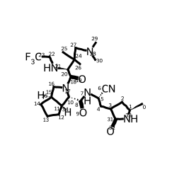 C[C@@H]1CC(C[C@@H](C#N)NC(=O)[C@@H]2[C@H]3CCC[C@H]3CN2C(=O)[C@@H](NCC(F)(F)F)C(C)(C)CN(C)C)C(=O)N1